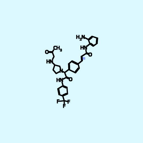 CC(=O)CNC1CCN(C(C(=O)Nc2ccc(C(F)(F)F)cc2)c2ccc(/C=C/C(=O)Nc3ccccc3N)cc2)C1